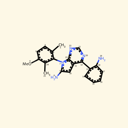 COc1ccc(C)c(-n2c(N)cc3c(-c4ccccc4N)ncnc32)c1C